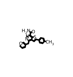 Cc1ccc(-c2cc3c(CC4=COCC=C4)nnc(C(N)=O)c3s2)cc1